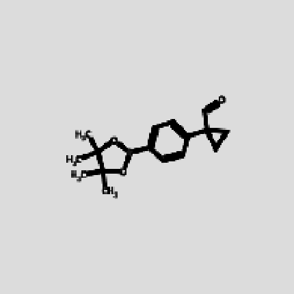 CC1(C)OB(c2ccc(C3(C=O)CC3)cc2)OC1(C)C